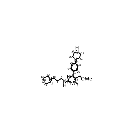 COCc1c(C)nc(NCCCN2CCOCC2)nc1-c1ccc(N2CCNCC2)cc1